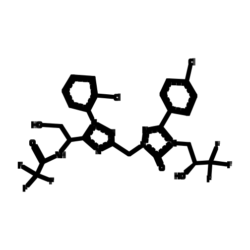 O=C(NC(CO)c1nc(Cn2nc(-c3ccc(Cl)cc3)n(C[C@H](O)C(F)(F)F)c2=O)nn1-c1ccccc1Cl)C(F)(F)F